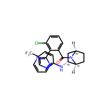 O=C(c1cccc(Cl)c1-c1ncccn1)N1[C@@H]2CC[C@H]1[C@H](Nc1ccc(C(F)(F)F)cn1)C2